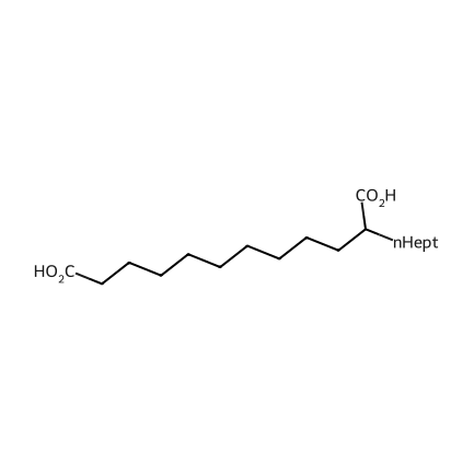 CCCCCCCC(CCCCCCCCCC(=O)O)C(=O)O